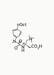 CCCCCCCCc1ccc(N(C)S(=O)(=O)N[C@H](CC(=O)O)C[N+](C)(C)C)cc1